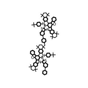 CC(C)(C)c1ccc(N2B3c4sc5ccc(-c6ccc(CC7(C)CCC(C)(C)c8cc9c(cc87)N(c7ccc(C(C)(C)C)cc7)B7c8sc%10ccc(-c%11ccccc%11)cc%10c8-n8c%10cc%11c(cc%10c%10c%12oc%13ccccc%13c%12c-9c7c%108)C(C)(C)CCC%11(C)C)cc6)cc5c4-n4c5cc6c(cc5c5c7oc8ccccc8c7c(c3c54)-c3cc4c(cc32)C(C)(C)CCC4(C)C)C(C)(C)CCC6(C)C)cc1